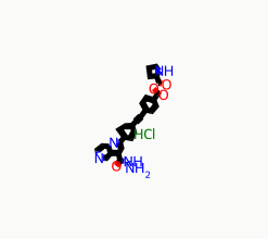 Cl.NNC(=O)c1cc(-c2ccc(C#Cc3ccc(C(=O)OC(=O)C4CCCN4)cc3)cc2)nc2ccncc12